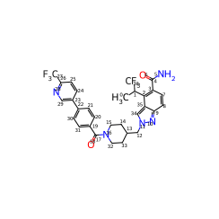 CC(c1c(C(N)=O)ccc2nn(CC3CCN(C(=O)c4ccc(-c5ccc(C(F)(F)F)nc5)cc4)CC3)cc12)C(F)(F)F